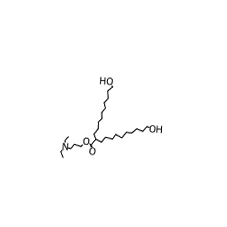 CCN(CC)CCCOC(=O)C(CCCCCCCCCCO)CCCCCCCCCCO